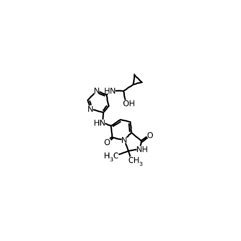 CC1(C)NC(=O)c2ccc(Nc3cc(NC(O)C4CC4)ncn3)c(=O)n21